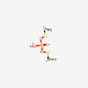 CCCCCSOP(=O)(O)OSCCCCC